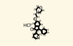 Cl.O=C1C(c2cccnc2)=C(c2ccccc2)c2ccc(OCCN3CCOCC3)cc21